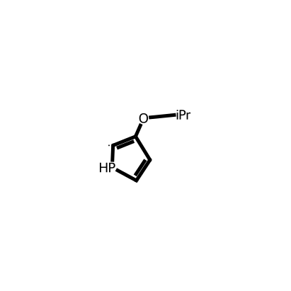 CC(C)Oc1[c][pH]cc1